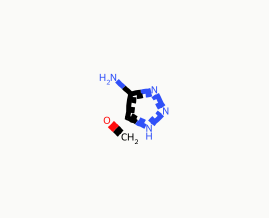 C=O.Nc1c[nH]nn1